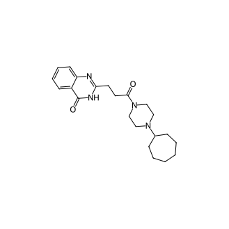 O=C(CCc1nc2ccccc2c(=O)[nH]1)N1CCN(C2CCCCCC2)CC1